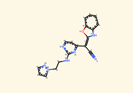 N#C/C(=C1\Nc2ccccc2O1)c1ccnc(NCCn2cccn2)n1